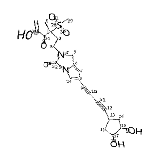 C[C@@](CCN1Cc2cc(C#CC#CC3C[C@@H](O)[C@@H](O)C3)cn2C1=O)(C(=O)NO)S(C)(=O)=O